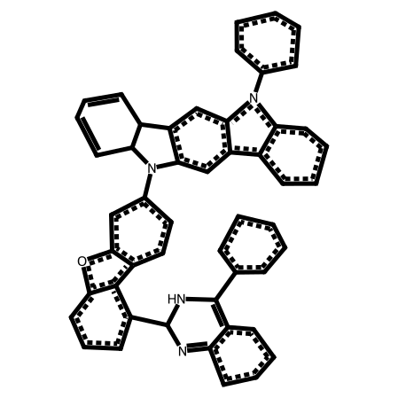 C1=CC2c3cc4c(cc3N(c3ccc5c(c3)oc3cccc(C6N=c7ccccc7=C(c7ccccc7)N6)c35)C2C=C1)c1ccccc1n4-c1ccccc1